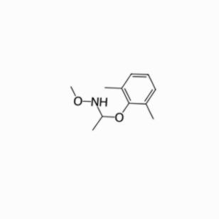 CONC(C)Oc1c(C)cccc1C